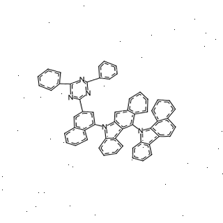 c1ccc(-c2nc(-c3ccccc3)nc(-c3cc(-n4c5ccccc5c5c(-n6c7ccccc7c7ccc8ccccc8c76)c6ccccc6cc54)c4ccccc4c3)n2)cc1